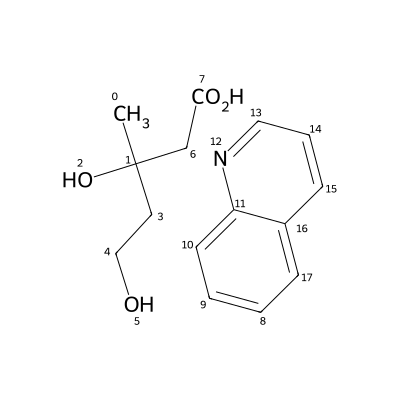 CC(O)(CCO)CC(=O)O.c1ccc2ncccc2c1